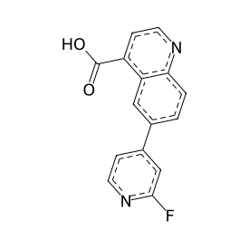 O=C(O)c1ccnc2ccc(-c3ccnc(F)c3)cc12